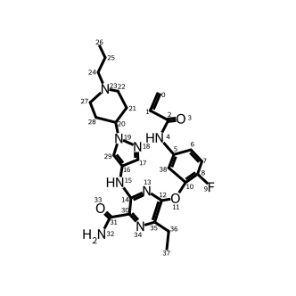 C=CC(=O)Nc1ccc(F)c(Oc2nc(Nc3cnn(C4CCN(CCC)CC4)c3)c(C(N)=O)nc2CC)c1